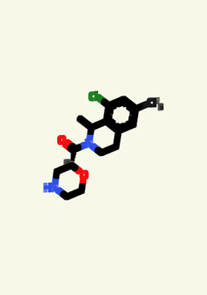 CC1c2c(Cl)cc(C(F)(F)F)cc2CCN1C(=O)[C@H]1CNCCO1